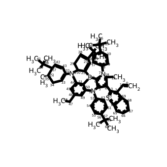 C=Cc1c(-c2c3c(n(-c4ccc(C(C)(C)C)cc4)c2C)B2C4=CC(C(C)(C)C)=CCC4N(C4=CC[C@H](C)C(C(C)(C)C)C=C4)c4cc(CC)cc(c42)N3c2ccc(C(C)(C)C)cc2)sc2ccccc12